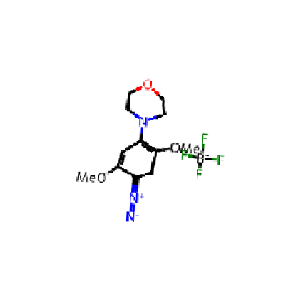 COC1=CC(N2CCOCC2)=C(OC)CC1=[N+]=[N-].F[B-](F)(F)F